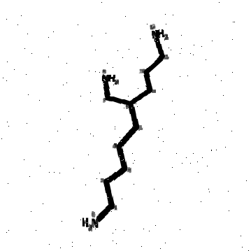 NCCCCCC(CN)CCCN